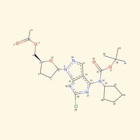 CC(=O)OC[C@@H]1CCC(n2ncc3c(N(C(=O)OC(C)(C)C)C4CCCC4)nc(Cl)nc32)O1